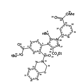 CCCCc1c(-c2ccc(C(=O)OC(C)(C)C)cc2C(=O)N2CCc3ccccc3C2)c(C(=O)OCC)nn1-c1cccc(C(=O)OC)c1